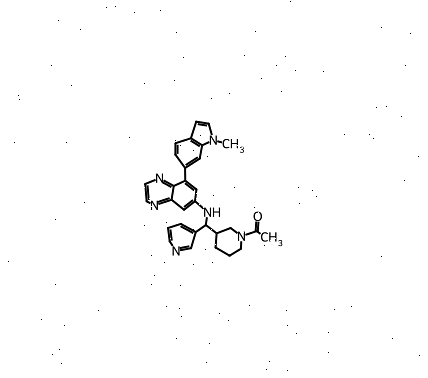 CC(=O)N1CCCC(C(Nc2cc(-c3ccc4ccn(C)c4c3)c3nccnc3c2)c2cccnc2)C1